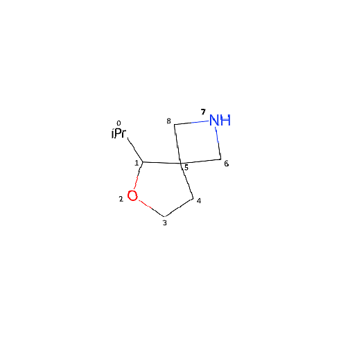 CC(C)C1OCCC12CNC2